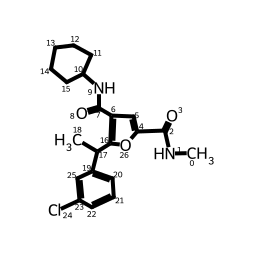 CNC(=O)c1cc(C(=O)NC2CCCCC2)c(C(C)c2cccc(Cl)c2)o1